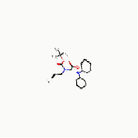 C1CCC(NC2CCCCC2)CC1.C=CCN(CC(=O)O)C(=O)OC(C)(C)C